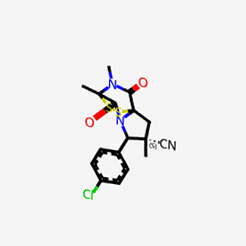 CN1C(=O)C23C[C@](C)(C#N)C(c4ccc(Cl)cc4)N2C(=O)C1(C)SS3